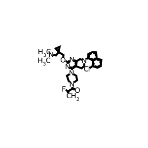 C=C(F)C(=O)N1CCN(c2nc(OCC3(CN(C)C)CC3)nc3c2CCN(c2cccc4cccc(Cl)c24)C3)CC1